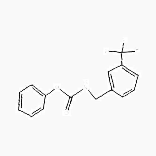 O=C(NCc1cccc(C(F)(F)F)c1)Oc1ccccc1